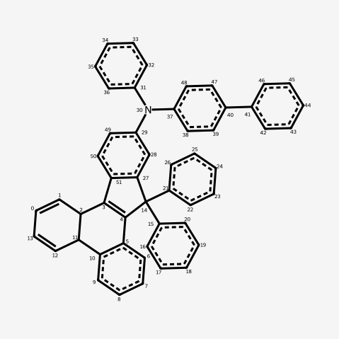 C1=CC2C3=C(c4ccccc4C2C=C1)C(c1ccccc1)(c1ccccc1)c1cc(N(c2ccccc2)c2ccc(-c4ccccc4)cc2)ccc13